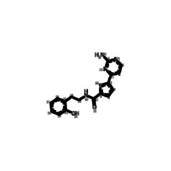 Nc1nccc(-c2ccc(C(=O)NCCc3ccccc3O)s2)n1